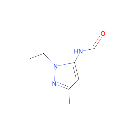 CCn1nc(C)cc1NC=O